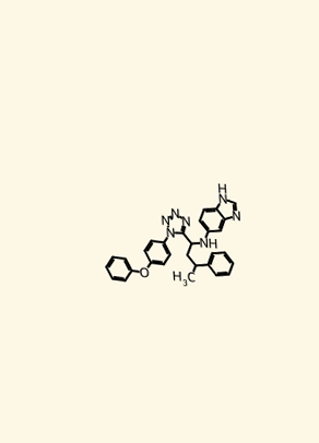 CC(CC(Nc1ccc2[nH]cnc2c1)c1nnnn1-c1ccc(Oc2ccccc2)cc1)c1ccccc1